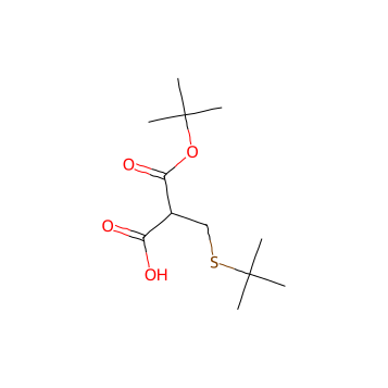 CC(C)(C)OC(=O)C(CSC(C)(C)C)C(=O)O